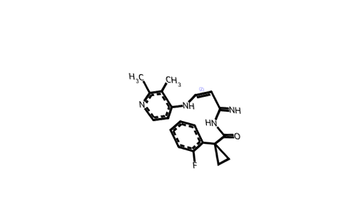 Cc1nccc(N/C=C\C(=N)NC(=O)C2(c3ccccc3F)CC2)c1C